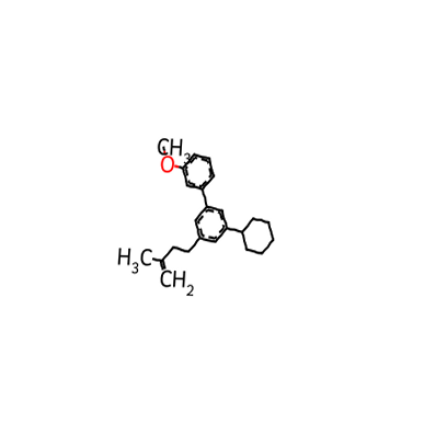 C=C(C)CCc1cc(-c2cccc(OC)c2)cc(C2CCCCC2)c1